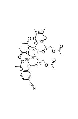 CC(=O)OC[C@H]1OC([C@H]2[C@H](OC(C)=O)[C@@H](OC(C)=O)[C@@H](c3cc(C#N)ccn3)O[C@@H]2COC(C)=O)[C@H](OC(C)=O)[C@@H](OC(C)=O)[C@@H]1OC(C)=O